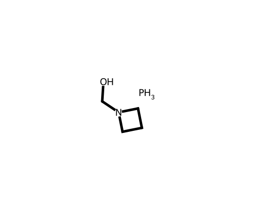 OCN1CCC1.P